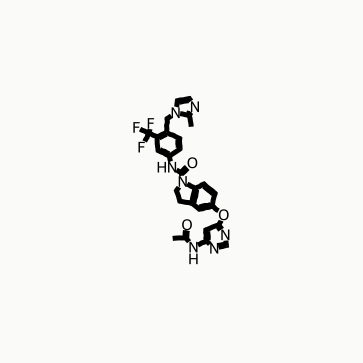 CC(=O)Nc1cc(Oc2ccc3c(c2)CCN3C(=O)Nc2ccc(Cn3ccnc3C)c(C(F)(F)F)c2)ncn1